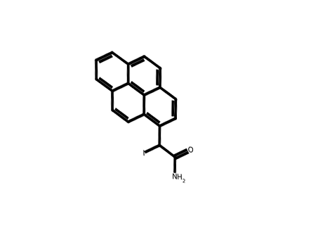 NC(=O)C(I)c1ccc2ccc3cccc4ccc1c2c34